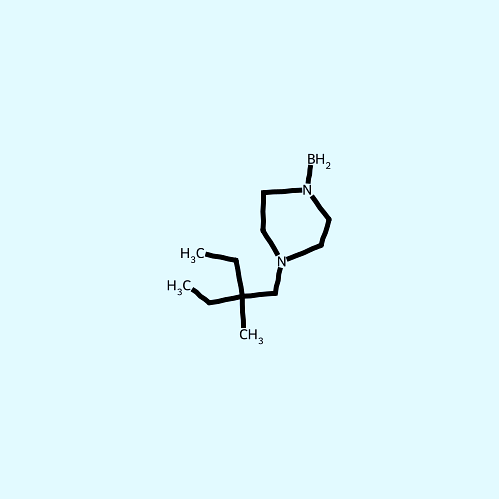 BN1CCN(CC(C)(CC)CC)CC1